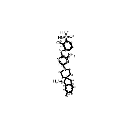 CS(=N)(=O)c1cccc(Sc2ncc(N3CCC4(CC3)Cc3ccc(F)cc3[C@H]4N)nc2N)c1Cl